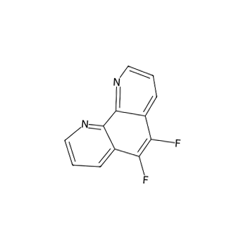 Fc1c(F)c2cccnc2c2ncccc12